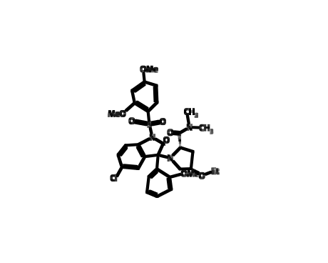 CCO[C@@H]1C[C@@H](C(=O)N(C)C)N(C2(c3ccccc3OC)C(=O)N(S(=O)(=O)c3ccc(OC)cc3OC)c3ccc(Cl)cc32)C1